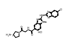 Cl.Cn1c(Nc2nc3ccc(Cl)cc3s2)nc2cc(C(=O)NCC(=O)N3CC[C@H](N)C3)ccc21